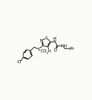 CC(C)CNC(=O)Nc1snc(SCc2ccc(Cl)cc2)c1C(=O)O